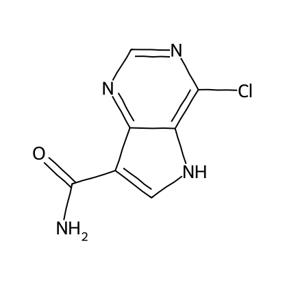 NC(=O)c1c[nH]c2c(Cl)ncnc12